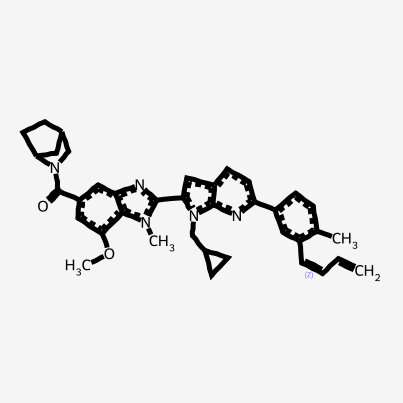 C=C/C=C\c1cc(-c2ccc3cc(-c4nc5cc(C(=O)N6CC7CCC6C7)cc(OC)c5n4C)n(CC4CC4)c3n2)ccc1C